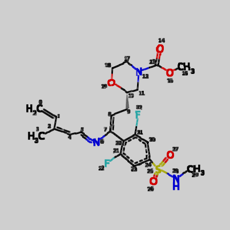 C=C\C(C)=C/C=N/C(=C/C[C@H]1CN(C(=O)OC)CCO1)c1c(F)cc(S(=O)(=O)NC)cc1F